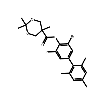 Cc1cc(C)c(-c2cc(Br)c(OC(=O)C3(C)COC(C)(C)OC3)c(Br)c2)c(C)c1